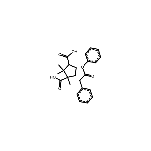 CC1(C(=O)O)CCC(C(=O)O)C1(C)C.O=C(Cc1ccccc1)Oc1ccccc1